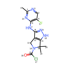 Cc1ncc(F)c(Nc2n[nH]c3c2CN(C(=O)Cl)C3(C)C)n1